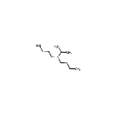 CCCCN(CCCN)C(C)C